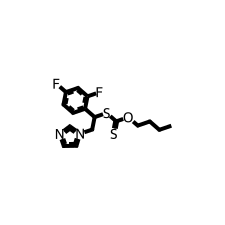 CCCCOC(=S)SC(Cn1ccnc1)c1ccc(F)cc1F